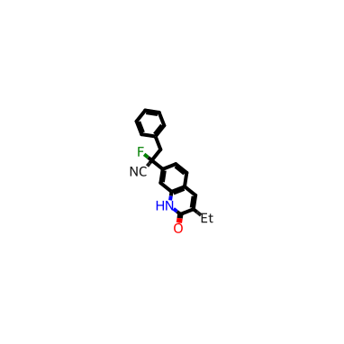 CCc1cc2ccc(C(F)(C#N)Cc3ccccc3)cc2[nH]c1=O